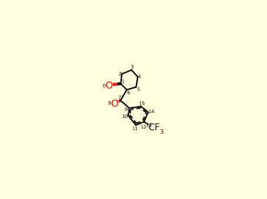 O=C1CCCCC1C(=O)c1ccc(C(F)(F)F)cc1